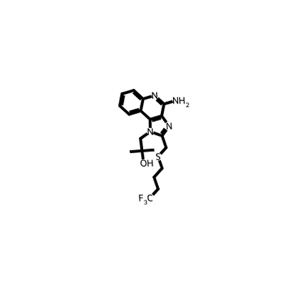 CC(C)(O)Cn1c(CSCCCC(F)(F)F)nc2c(N)nc3ccccc3c21